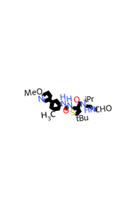 COc1ccc(-c2cc(C)cc(NC(=O)Nc3sc(C(C)(C)C)cc3C(=O)N(CCNC=O)C(C)C)c2)cn1